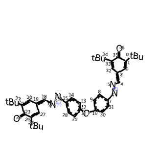 CC(C)(C)C1=CC(=C/N=N/c2ccc(Oc3ccc(/N=N/C=C4C=C(C(C)(C)C)C(=O)C(C(C)(C)C)=C4)cc3)cc2)C=C(C(C)(C)C)C1=O